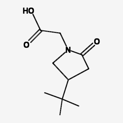 CC(C)(C)C1CC(=O)N(CC(=O)O)C1